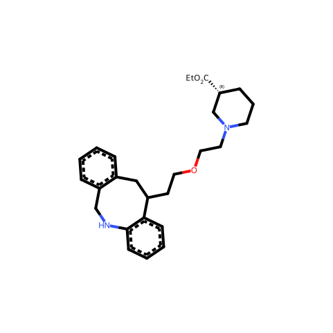 CCOC(=O)[C@@H]1CCCN(CCOCCC2Cc3ccccc3CNc3ccccc32)C1